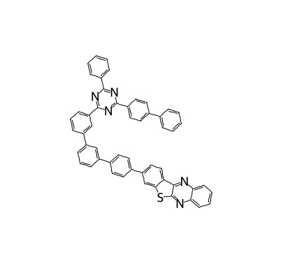 c1ccc(-c2ccc(-c3nc(-c4ccccc4)nc(-c4cccc(-c5cccc(-c6ccc(-c7ccc8c(c7)sc7nc9ccccc9nc78)cc6)c5)c4)n3)cc2)cc1